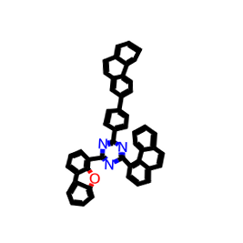 c1ccc2c(c1)ccc1cc(-c3ccc(-c4nc(-c5cccc6c5oc5ccccc56)nc(-c5cccc6ccc7ccccc7c56)n4)cc3)ccc12